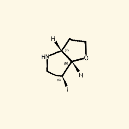 I[C@H]1CN[C@@H]2CCO[C@H]12